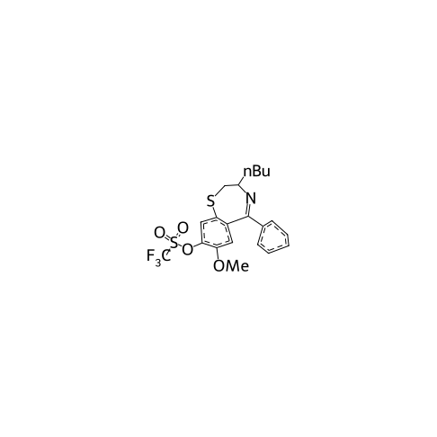 CCCCC1CSc2cc(OS(=O)(=O)C(F)(F)F)c(OC)cc2C(c2ccccc2)=N1